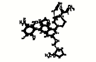 C=CC(=O)N1CCN(c2nc(OC[C@@H]3CCCN3C)nc3cc(-c4c(C)c(N)cc(F)c4Cl)c4ccoc4c23)C[C@@H]1CC#N